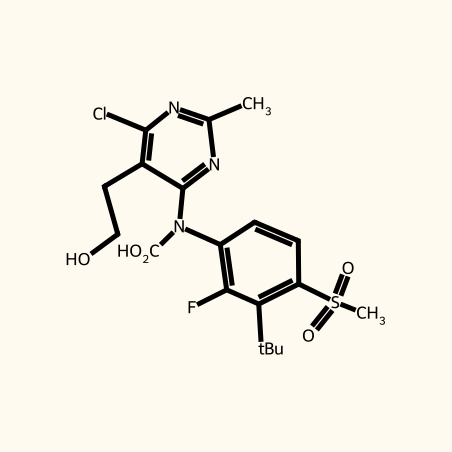 Cc1nc(Cl)c(CCO)c(N(C(=O)O)c2ccc(S(C)(=O)=O)c(C(C)(C)C)c2F)n1